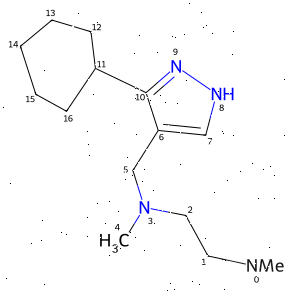 CNCCN(C)Cc1c[nH]nc1C1CCCCC1